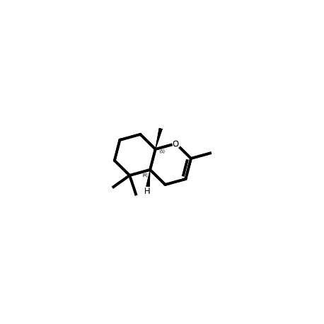 CC1=CC[C@@H]2C(C)(C)CCC[C@]2(C)O1